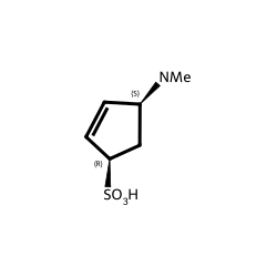 CN[C@@H]1C=C[C@H](S(=O)(=O)O)C1